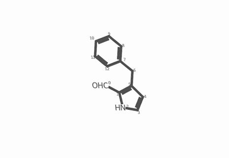 O=Cc1[nH]ccc1Cc1ccccc1